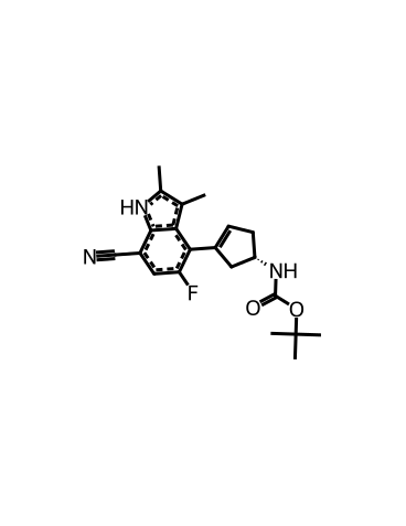 Cc1[nH]c2c(C#N)cc(F)c(C3=CC[C@H](NC(=O)OC(C)(C)C)C3)c2c1C